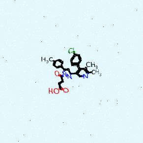 Cc1ccc(C2CC(c3cnc(C)c(C)c3-c3ccc(Cl)cc3)=NN2C(=O)CCC(=O)O)cc1